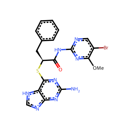 COc1nc(NC(=O)[C@H](Cc2ccccc2)Sc2nc(N)nc3nc[nH]c23)ncc1Br